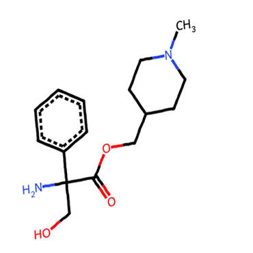 CN1CCC(COC(=O)C(N)(CO)c2ccccc2)CC1